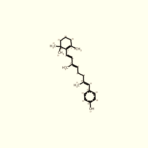 CC1=C(/C=C/C(C)=C/CC/C(C)=C/c2ccc(O)cc2)C(C)(C)CCC1